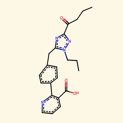 CCCC(=O)c1nc(Cc2ccc(-c3ncccc3C(=O)O)cc2)n(CCC)n1